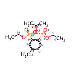 CCOP(=O)(OCC)c1ccc(C)cc1P(=O)(OCC)OCC